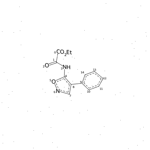 CCOC(=O)C(=O)Nc1oncc1-c1ccccc1